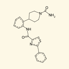 NC(=O)N1CCC(c2ccccc2NC(=O)c2csc(-c3ccccc3)n2)CC1